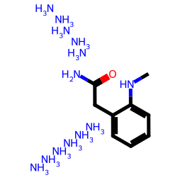 CNc1ccccc1CC(N)=O.N.N.N.N.N.N.N.N.N.N.N